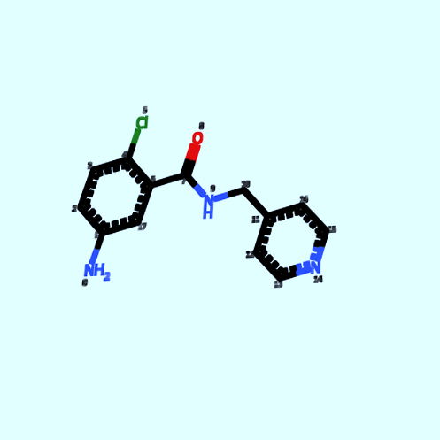 Nc1ccc(Cl)c(C(=O)NCc2ccncc2)c1